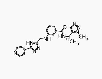 C[C@H](NC(=O)c1cccc(NCc2nnc(-c3ccncc3)[nH]2)c1)c1cnnn1C